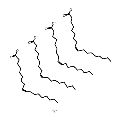 CCCCCCCC/C=C\CCCCCCCC(=O)[O-].CCCCCCCC/C=C\CCCCCCCC(=O)[O-].CCCCCCCC/C=C\CCCCCCCC(=O)[O-].CCCCCCCC/C=C\CCCCCCCC(=O)[O-].[Ti+4]